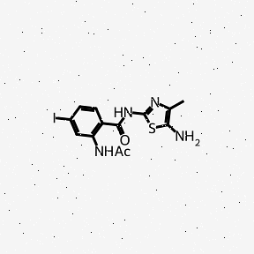 CC(=O)Nc1cc(I)ccc1C(=O)Nc1nc(C)c(N)s1